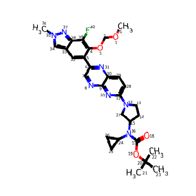 COCOc1c(-c2cnc3nc(N4CCC(N(C(=O)OC(C)(C)C)C5CC5)C4)ccc3n2)cc2cn(C)nc2c1F